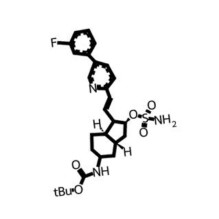 CC(C)(C)OC(=O)NC1CC[C@H]2C(C=Cc3ccc(-c4cccc(F)c4)cn3)[C@@H](OS(N)(=O)=O)C[C@@H]2C1